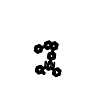 Cc1ccccc1-c1cc(C2=CCCC=C2)nc(-c2ccc(-c3cccc4ccc(-c5ccccc5)cc34)cc2)n1